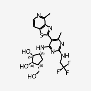 Cc1nc(NCC(F)(F)F)nc(N[C@@H]2C[C@H](CO)[C@@H](O)[C@H]2O)c1-c1nc2c(C)nccc2s1